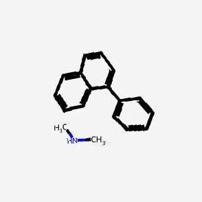 CNC.c1ccc(-c2cccc3ccccc23)cc1